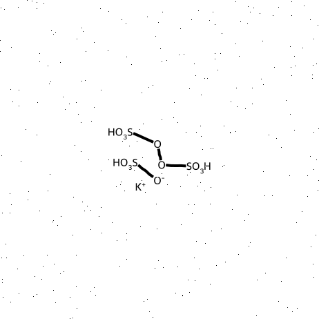 O=S(=O)(O)OOS(=O)(=O)O.O=S(=O)([O-])O.[K+]